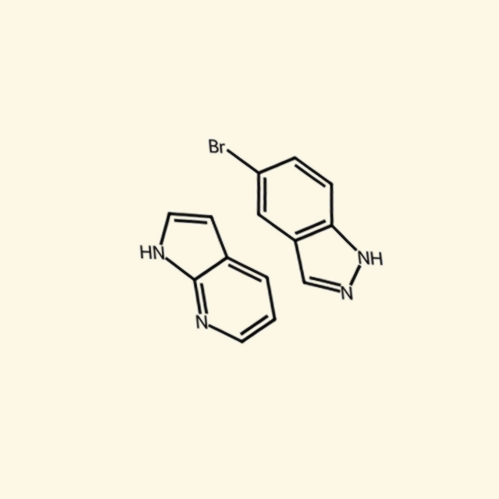 Brc1ccc2[nH]ncc2c1.c1cnc2[nH]ccc2c1